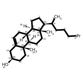 CC(C)CCCC(C)[C@@H]1CC[C@@H]2[C@H]3CC=C4C[C@H](O)CC[C@@]4(C)[C@@H]3CC[C@]21C